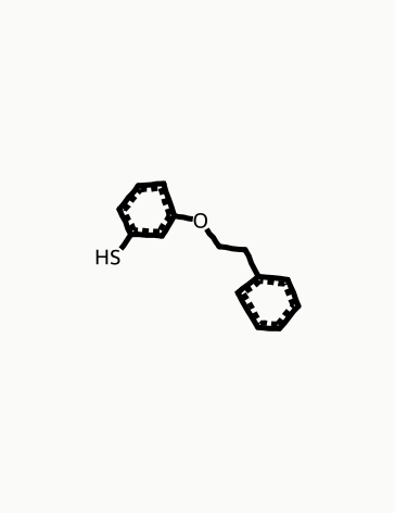 Sc1cccc(OCCc2ccccc2)c1